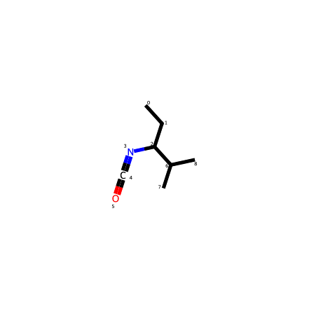 CCC(N=C=O)C(C)C